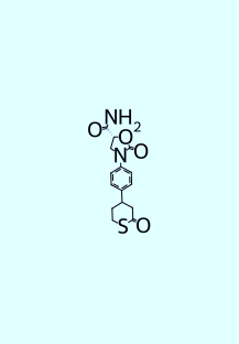 NC(=O)[C@H]1CN(c2ccc(C3CCSC(=O)C3)cc2)C(=O)O1